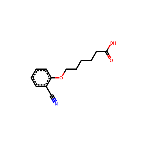 N#Cc1ccccc1OCCCCCC(=O)O